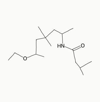 CCOC(C)CC(C)(C)CC(C)NC(=O)CC(C)C